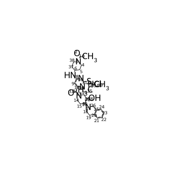 CC(=O)N1CCC(Nc2cc(C(=O)N3CC[C@@H](N4CCc5ccccc5C4)[C@H](O)C3)nc(SC(C)C)n2)CC1.Cl